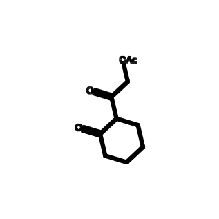 CC(=O)OCC(=O)C1CCCCC1=O